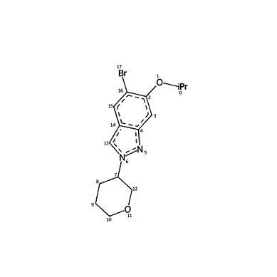 CC(C)Oc1cc2nn(C3CCCOC3)cc2cc1Br